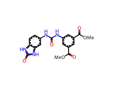 COC(=O)c1cc(NC(=O)Nc2ccc3[nH]c(=O)[nH]c3c2)cc(C(=O)OC)c1